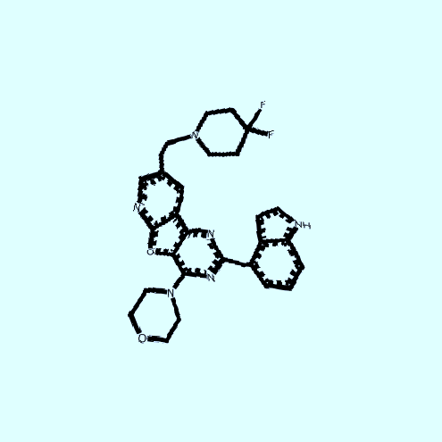 FC1(F)CCN(Cc2cnc3oc4c(N5CCOCC5)nc(-c5cccc6[nH]ccc56)nc4c3c2)CC1